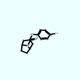 O=CN1C2CCC1CC(Oc1ccc(I)cc1)C2